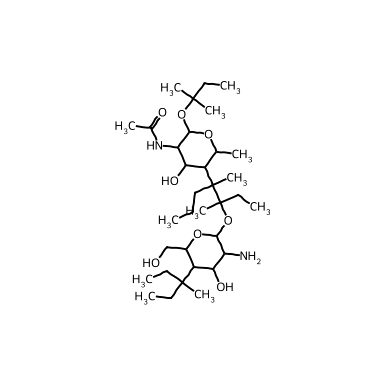 CCCC(C)(C1C(C)OC(OC(C)(C)CC)C(NC(C)=O)C1O)C(C)(CC)OC1OC(CO)C(C(C)(CC)CC)C(O)C1N